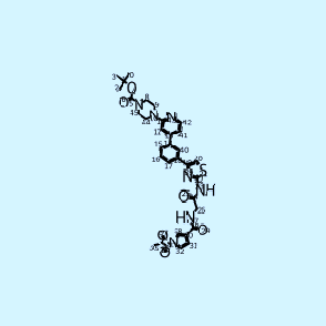 CC(C)(C)OC(=O)N1CCN(c2cc(-c3cccc(-c4csc(NC(=O)CNC(=O)c5ccn(S(C)(=O)=O)c5)n4)c3)ccn2)CC1